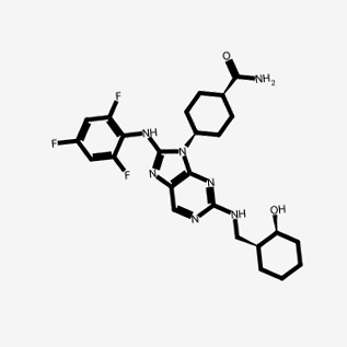 NC(=O)[C@H]1CC[C@@H](n2c(Nc3c(F)cc(F)cc3F)nc3cnc(NC[C@@H]4CCCC[C@@H]4O)nc32)CC1